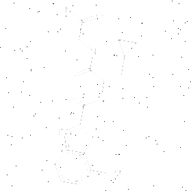 COc1cccc2[nH]c(C(=O)N[C@@H](CC3CC3)C(=O)NCC(N)=O)cc12